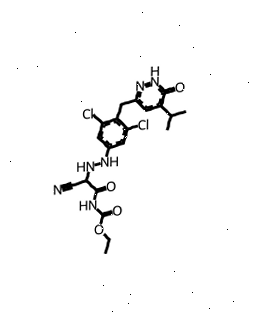 CCOC(=O)NC(=O)C(C#N)NNc1cc(Cl)c(Cc2cc(C(C)C)c(=O)[nH]n2)c(Cl)c1